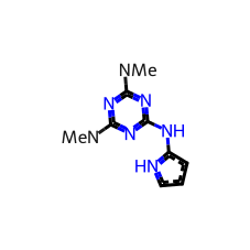 CNc1nc(NC)nc(Nc2ccc[nH]2)n1